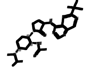 CC(=O)N[C@@H]1C[C@H](N(C)C(C)C)CC[C@@H]1N1CCC(Nc2ncnc3cnc(C(C)(C)C)nc23)C1=O